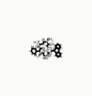 CC[C@H](C)[C@H](NC(=O)OCC1c2ccccc2-c2ccccc21)C(=O)N(C)[C@H](C(=O)N(C)[C@H](C)CC(=O)N(C)[C@H](C)CC(=O)O)C1CCCCC1